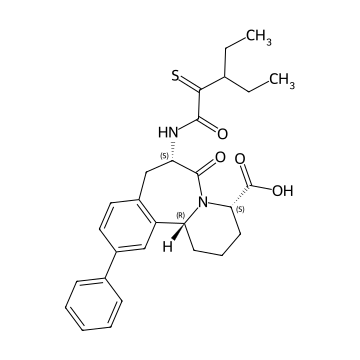 CCC(CC)C(=S)C(=O)N[C@H]1Cc2ccc(-c3ccccc3)cc2[C@H]2CCC[C@@H](C(=O)O)N2C1=O